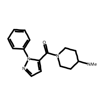 CNC1CCN(C(=O)c2ccnn2-c2ccccc2)CC1